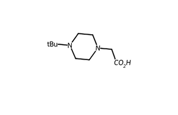 CC(C)(C)N1CCN(CC(=O)O)CC1